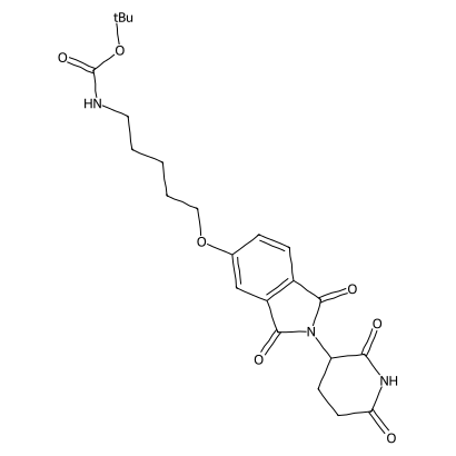 CC(C)(C)OC(=O)NCCCCCOc1ccc2c(c1)C(=O)N(C1CCC(=O)NC1=O)C2=O